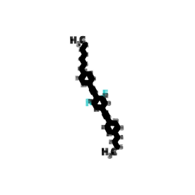 CCCCCCCc1ccc(C#Cc2c(F)cc(C#Cc3ccc(CCCC)cc3)cc2F)cc1